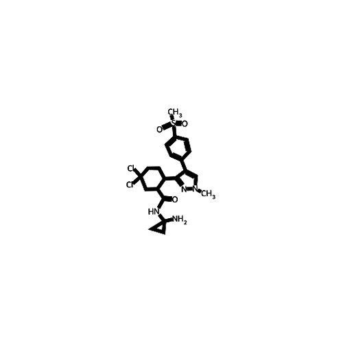 Cn1cc(-c2ccc(S(C)(=O)=O)cc2)c(C2CCC(Cl)(Cl)CC2C(=O)NC2(N)CC2)n1